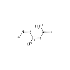 C=C(P)/C=C(Cl)\C=N/C